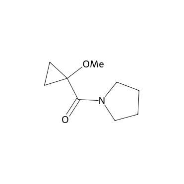 COC1(C(=O)N2CCCC2)CC1